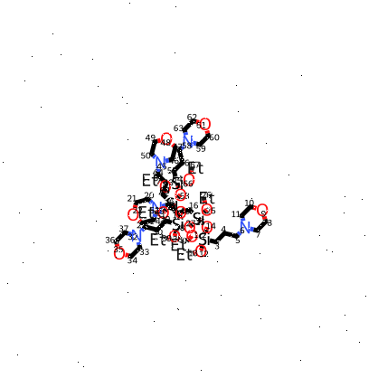 CCO[Si](CCCN1CCOCC1)(OCC)O[Si](CCCN1CCOCC1)(OCC)O[Si](CCCN1CCOCC1)(OCC)O[Si](CCCN1CCOCC1)(OCC)O[Si](CCCN1CCOCC1)(OCC)OCC